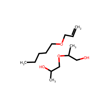 C=CCOCCCCC.CC(O)COC(C)CO